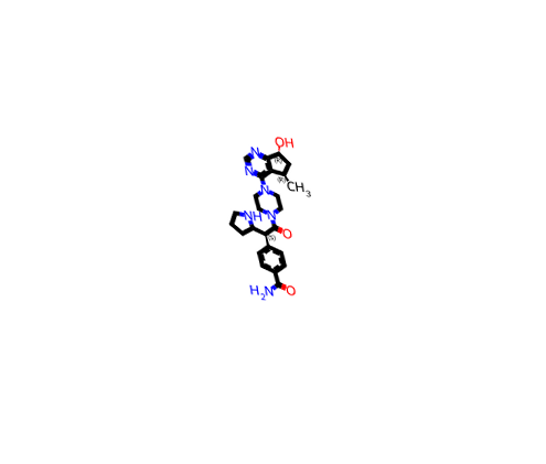 C[C@@H]1C[C@@H](O)c2ncnc(N3CCN(C(=O)[C@@H](c4ccc(C(N)=O)cc4)C4CCCN4)CC3)c21